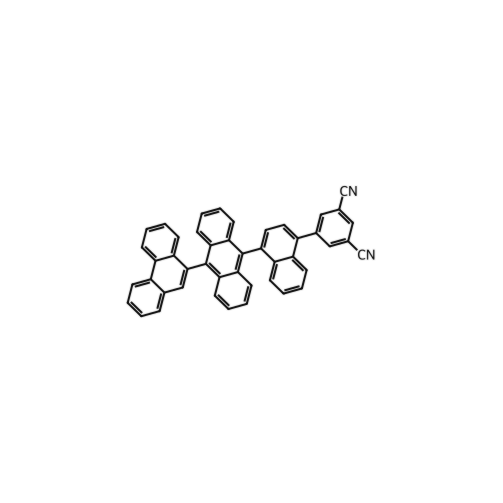 N#Cc1cc(C#N)cc(-c2ccc(-c3c4ccccc4c(-c4cc5ccccc5c5ccccc45)c4ccccc34)c3ccccc23)c1